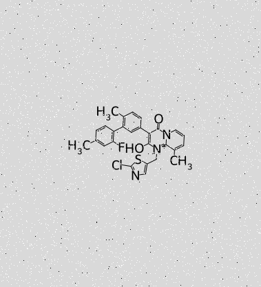 Cc1ccc(-c2cc(-c3c(O)[n+](Cc4cnc(Cl)s4)c4c(C)cccn4c3=O)ccc2C)c(F)c1